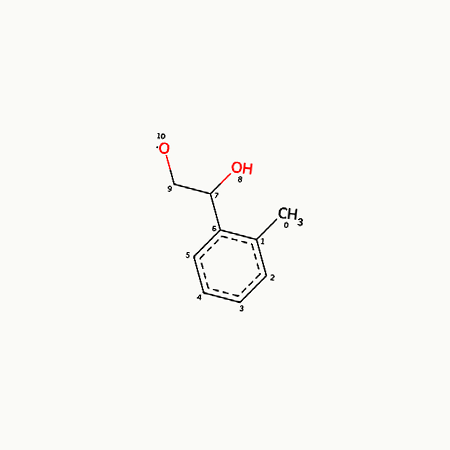 Cc1ccccc1C(O)C[O]